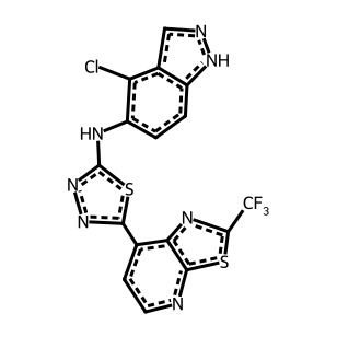 FC(F)(F)c1nc2c(-c3nnc(Nc4ccc5[nH]ncc5c4Cl)s3)ccnc2s1